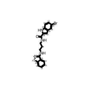 O=C(NCCCNc1nsc2ccccc12)c1cc2cc(Br)ccc2[nH]1